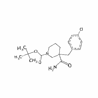 CC(C)(C)OC(=O)N1CCCC(Cc2ccc(Cl)cc2)(C(N)=O)C1